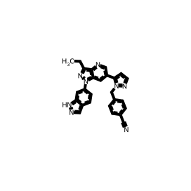 CCc1nn(-c2ccc3cn[nH]c3c2)c2cc(-c3ccnn3Cc3ccc(C#N)cc3)cnc12